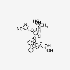 CC(CO)(CO)NCc1cc(Cl)c(OCC2(OCCC(=O)NCC(O)CO)C=CC=C(c3ccccc3)C2(C)Cl)cc1OCc1cncc(C#N)c1